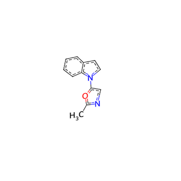 Cc1ncc(-n2ccc3ccccc32)o1